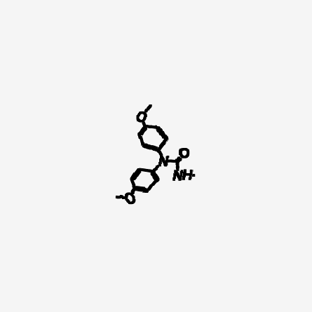 COc1ccc(N(C([NH])=O)c2ccc(OC)cc2)cc1